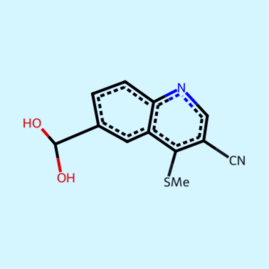 CSc1c(C#N)cnc2ccc(C(O)O)cc12